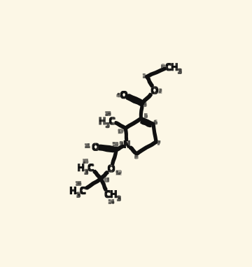 CCOC(=O)C1=CCCN(C(=O)OC(C)(C)C)C1C